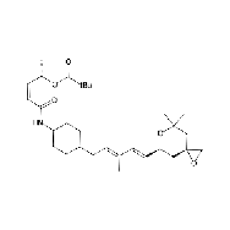 CC(/C=C/[C@@H]1C[C@]2(CO2)CC(C)(C)O1)=C\CC1CCC(NC(=O)/C=C\[C@H](C)OC(=O)C(C)(C)C)CC1